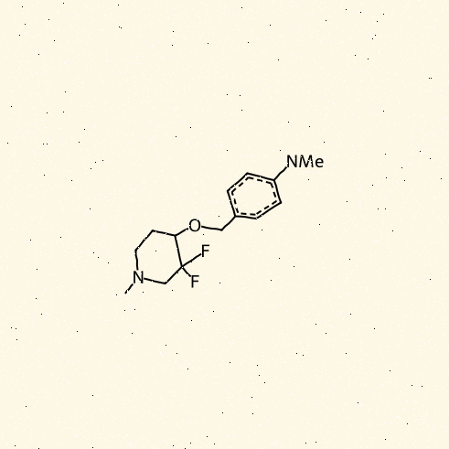 CNc1ccc(COC2CCN(C)CC2(F)F)cc1